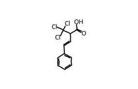 O=C(O)C(C=Cc1ccccc1)C(Cl)(Cl)Cl